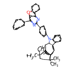 CC1(C)CCC(C)(C)C2=C1C=C1c3ccccc3N(c3ccc(-c4nc(-c5ccccc5)c5oc6ccccc6c5n4)cc3)C1C2